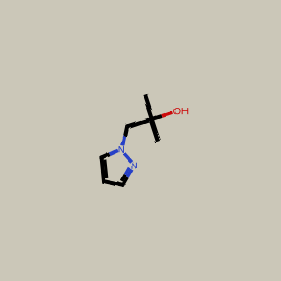 CC(C)(O)Cn1cc[c]n1